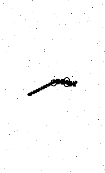 CCCCCCCCCCCCCCCCCCCCOC(C)c1ccc(-c2ccc(C(=O)Oc3ccc(C(CC)CCC)cc3)cc2)cc1